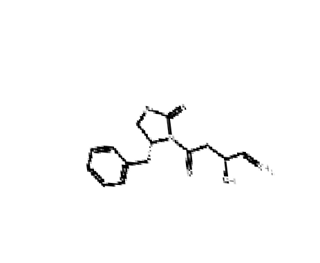 C=C[C@@H](O)CC(=O)N1C(=S)SC[C@H]1Cc1ccccc1